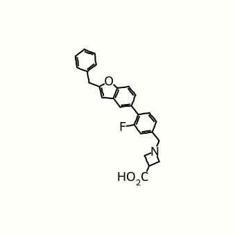 O=C(O)C1CN(Cc2ccc(-c3ccc4oc(Cc5ccccc5)cc4c3)c(F)c2)C1